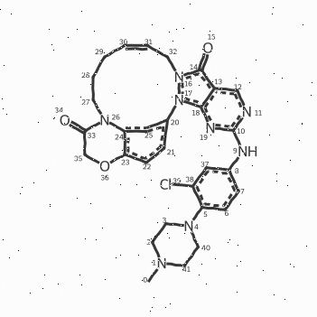 CN1CCN(c2ccc(Nc3ncc4c(=O)n5n(c4n3)-c3ccc4c(c3)N(CCC/C=C\C5)C(=O)CO4)cc2Cl)CC1